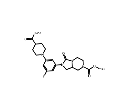 COC(=O)C1CCN(c2cc(F)cc(N3CC4CN(C(=O)OC(C)(C)C)CCN4C3=O)c2)CC1